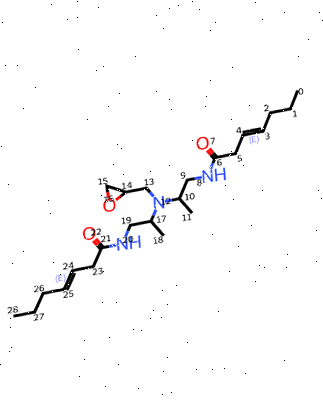 CCC/C=C/CC(=O)NCC(C)N(CC1CO1)C(C)CNC(=O)C/C=C/CCC